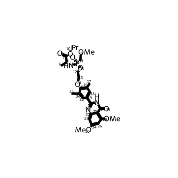 COCP(=O)(NC(C)C(=O)OC(C)C)OCCOc1c(C)cc(-c2nc3cc(OC)cc(OC)c3c(=O)[nH]2)cc1C